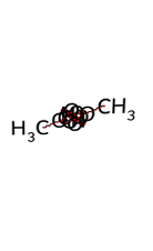 CCCCCCCCOc1ccc(Oc2c3c(=O)n(-c4ccccc4)c(=O)c3c(Oc3ccc(OCCCCCCCC)cc3)c3c(=O)n(-c4ccccc4)c(=O)c23)cc1